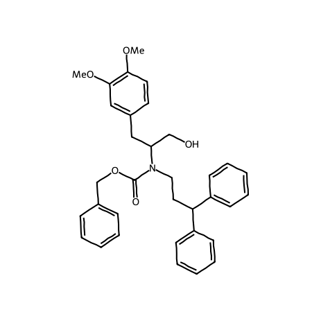 COc1ccc(CC(CO)N(CCC(c2ccccc2)c2ccccc2)C(=O)OCc2ccccc2)cc1OC